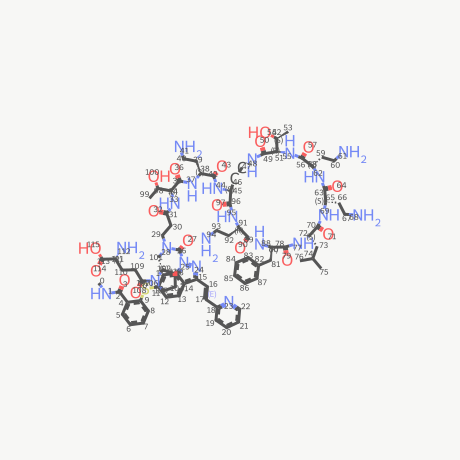 CNC(=O)c1ccccc1Sc1ccc2c(/C=C/c3ccccn3)nn(C(=O)N(CCC(=O)N[C@H](C(=O)N[C@@H](CCN)C(=O)N[C@H]3CCNC(=O)[C@@H]([C@H](C)O)NC(=O)[C@H](CCN)NC(=O)[C@H](CCN)NC(=O)[C@H](CC(C)C)NC(=O)[C@@H](Cc4ccccc4)NC(=O)[C@@H](CCN)NC3=O)C(C)O)C[C@@H]3CCCN3C(=O)CC[C@@H](N)C(=O)O)c2c1